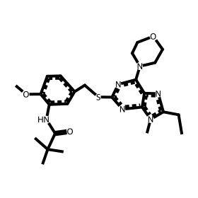 CCc1nc2c(N3CCOCC3)nc(SCc3ccc(OC)c(NC(=O)C(C)(C)C)c3)nc2n1C